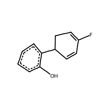 Oc1ccccc1C1C=CC(F)=CC1